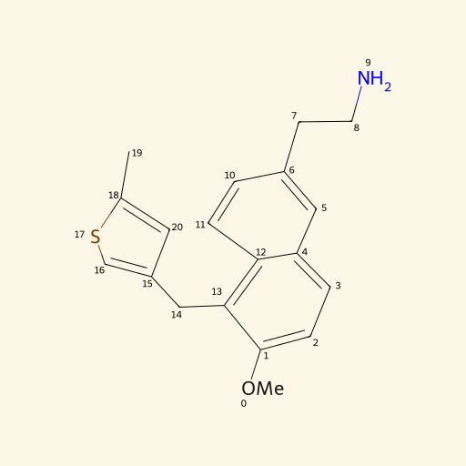 COc1ccc2cc(CCN)ccc2c1Cc1csc(C)c1